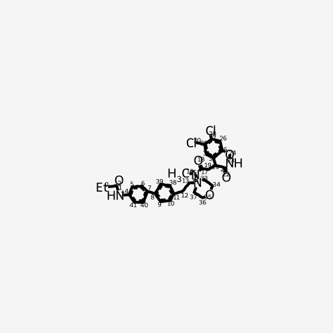 CCC(=O)Nc1ccc(-c2ccc(CC[N+]3(N(C)C(=O)CC4C(=O)NOc5cc(Cl)c(Cl)cc54)CCOCC3)cc2)cc1